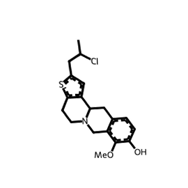 COc1c(O)ccc2c1CN1CCc3sc(CC(C)Cl)cc3C1C2